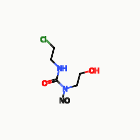 O=NN(CCO)C(=O)NCCCl